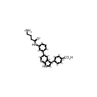 NCCCC(=O)Nc1cccc(-c2cnc3[nH]cc(-c4ccc(C(=O)O)cc4)c3c2)c1